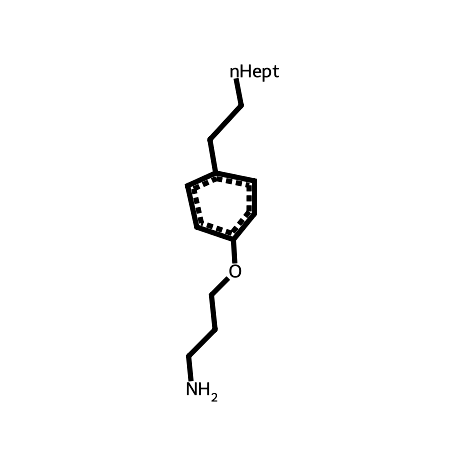 CCCCCCCCCc1ccc(OCCCN)cc1